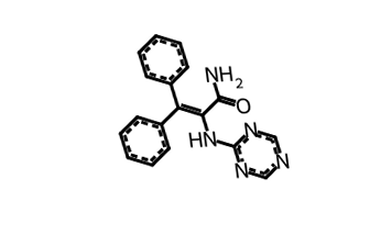 NC(=O)C(Nc1ncncn1)=C(c1ccccc1)c1ccccc1